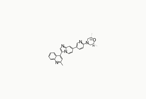 Cc1cc(-c2cnc3cc(-c4ccc(N5C[C@@H](C)O[C@@H](C)C5)nc4)ccn23)c2ccccc2n1